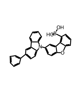 OB(O)c1cccc2oc3ccc(-n4c5ccccc5c5cc(-c6ccccc6)ccc54)cc3c12